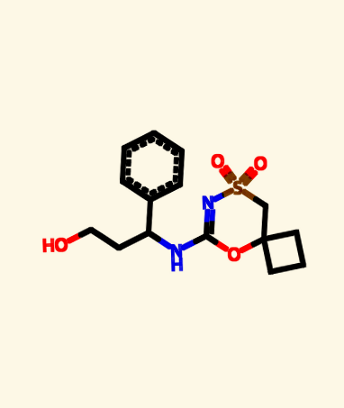 O=S1(=O)CC2(CCC2)OC(NC(CCO)c2ccccc2)=N1